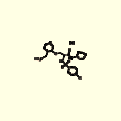 Cl.O=C(O)Cc1ccncc1OCC(NS(=O)(=O)c1ccc(Cl)cc1)C(=O)Nc1ccccc1